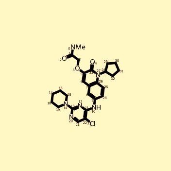 CNC(=O)COc1cc2cc(Nc3nc(N4CCCCC4)ncc3Cl)ccc2n(C2CCCC2)c1=O